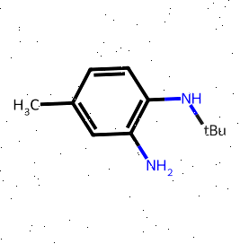 Cc1ccc(NC(C)(C)C)c(N)c1